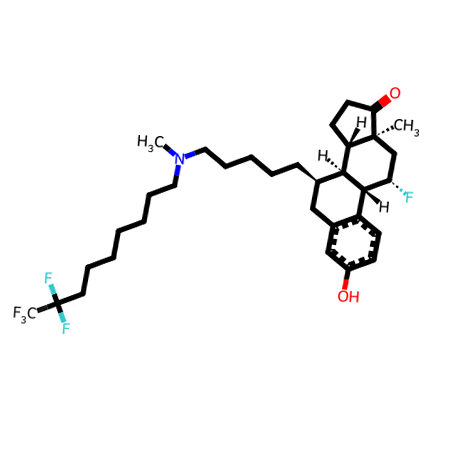 CN(CCCCCCCC(F)(F)C(F)(F)F)CCCCC[C@@H]1Cc2cc(O)ccc2[C@@H]2[C@@H]1[C@@H]1CCC(=O)[C@@]1(C)C[C@@H]2F